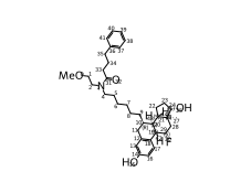 COCCN(CCCCCC[C@@H]1Cc2cc(O)ccc2[C@@H]2[C@@H]1[C@@H]1CC[C@H](O)[C@@]1(C)C[C@@H]2F)C(=O)CCCc1ccccc1